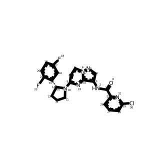 O=C(Nc1cnn2ccc(N3CCC[C@@H]3c3cc(F)ccc3F)nc12)c1cccc(Cl)n1